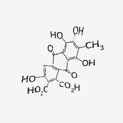 Cc1c(O)c(O)c2c(c1O)C(=O)c1c(cc(O)c(C(=O)O)c1C(=O)O)C2=O